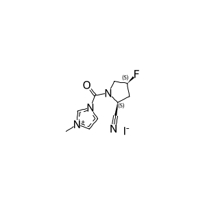 C[n+]1ccn(C(=O)N2C[C@@H](F)C[C@H]2C#N)c1.[I-]